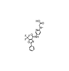 CN(CC(=O)O)c1ccc(NC(=O)c2nc(-c3ccccc3)oc2C(F)(F)F)cn1